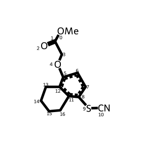 COC(=O)COc1ccc(SC#N)c2c1CCCC2